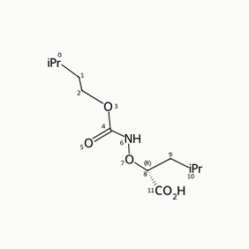 CC(C)CCOC(=O)NO[C@H](CC(C)C)C(=O)O